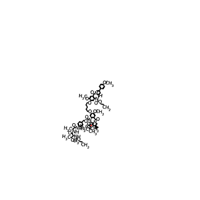 C=CCOC(=O)N[C@H](C(=O)N[C@@H](C)C(=O)Nc1ccc(COC(=O)N2c3cc(OCCCCCOc4cc5c(cc4OC)C(=O)N4C=C(c6ccc(OC)cc6)C[C@H]4CN5C(=O)OCC=C)c(OC)cc3C(=O)N3CC4(CC4)C[C@H]3[C@@H]2O[Si](C)(C)C(C)(C)C)cc1)C(C)C